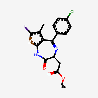 Cc1c(I)sc2c1C(c1ccc(Cl)cc1)=N[C@@H](CC(=O)OC(C)(C)C)C(=O)N2